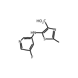 Cc1nc(C(=O)O)c(Nc2cncc(F)c2)s1